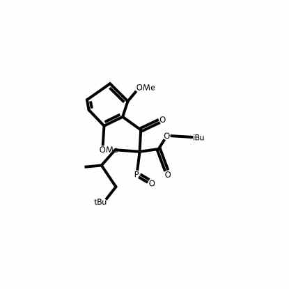 CCC(C)OC(=O)C(CC(C)CC(C)(C)C)(P=O)C(=O)c1c(OC)cccc1OC